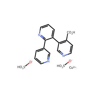 O=C(O)c1ccncc1-c1cccnc1-c1cccnc1.O=S(=O)([O-])O.O=S(=O)([O-])O.[Cu+2]